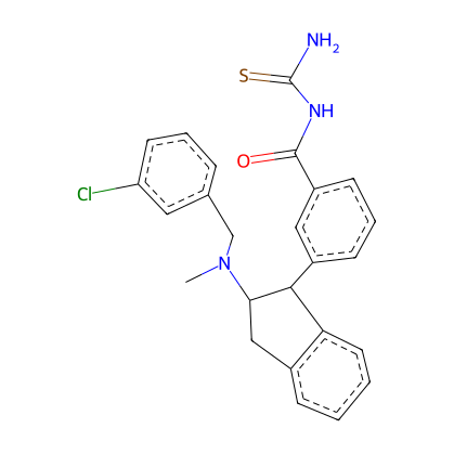 CN(Cc1cccc(Cl)c1)C1Cc2ccccc2C1c1cccc(C(=O)NC(N)=S)c1